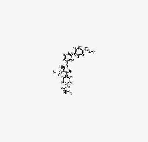 CC(C)Oc1ccc(-c2cccc(SNC(C)C(=O)N3CCC(CCN)CC3)c2)cc1